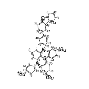 Cc1cc2c3c(c1)N(c1ccc(C(C)(C)C)cc1)c1cc(C(C)(C)C)ccc1B3c1ccc(C(C)(C)C)cc1N2c1ccc(-c2ccc3oc4ccccc4c3c2)cc1